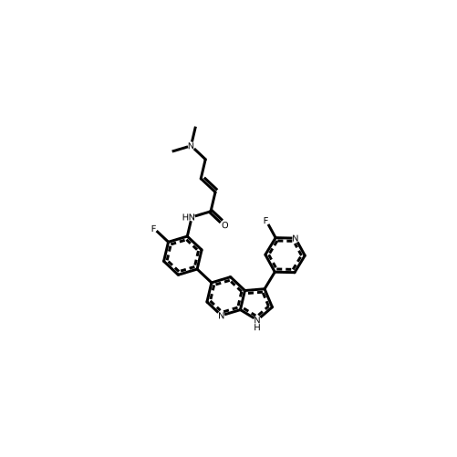 CN(C)C/C=C/C(=O)Nc1cc(-c2cnc3[nH]cc(-c4ccnc(F)c4)c3c2)ccc1F